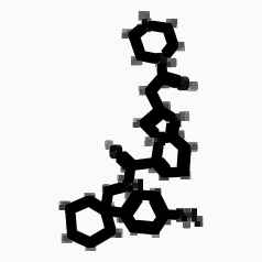 Nc1ccc(C2(CNC(=O)c3cccc4nc(CC(=O)N5CCSCC5)cn34)CCCCC2)cc1